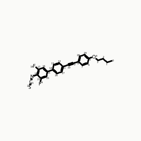 CCCCOc1ccc(C#Cc2ccc(-c3cc(F)c(N=C=S)c(F)c3)cc2)cc1